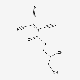 N#CC(C#N)=C(C#N)C(=O)OCC(O)CO